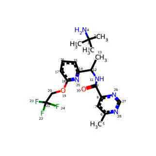 CC(C)(C)N.Cc1cc(C(=O)NC(C)c2cccc(OCC(F)(F)F)n2)ncn1